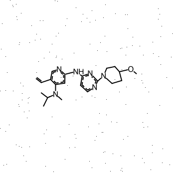 C=Cc1cnc(Nc2ccnc(N3CCC(OC)CC3)n2)cc1N(C)C(C)C